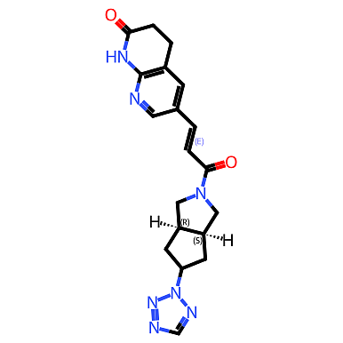 O=C1CCc2cc(/C=C/C(=O)N3C[C@H]4CC(n5ncnn5)C[C@H]4C3)cnc2N1